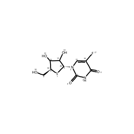 O=c1[nH]c(=O)n([C@@H]2S[C@@H](CO)C(O)C2O)cc1F